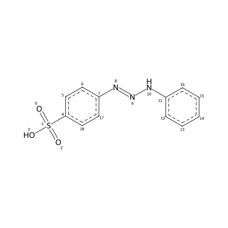 O=S(=O)(O)c1ccc(N=NNc2ccccc2)cc1